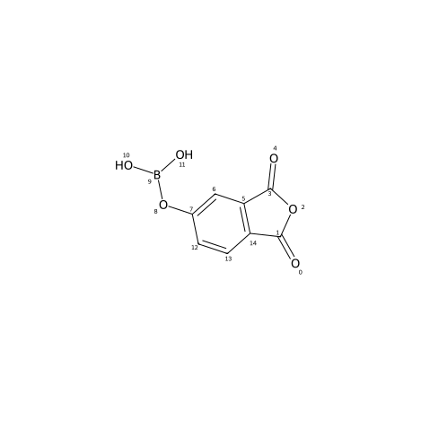 O=C1OC(=O)c2cc(OB(O)O)ccc21